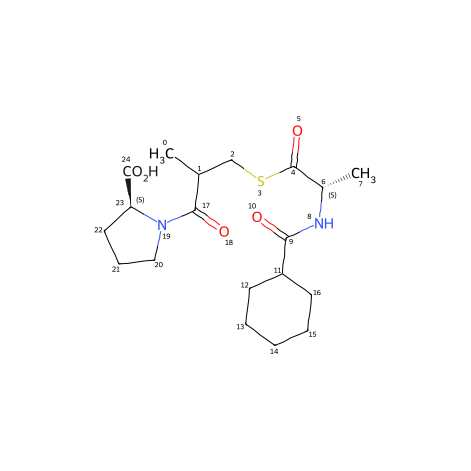 CC(CSC(=O)[C@H](C)NC(=O)C1CCCCC1)C(=O)N1CCC[C@H]1C(=O)O